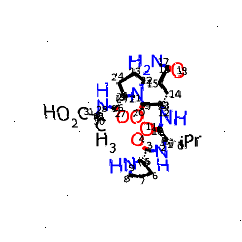 CC(C)[C@H](NC(=O)[C@@H]1CCCN1)C(=O)N[C@@H](CCC(N)=O)C(=O)N1CCC[C@H]1C(=O)N[C@@H](C)C(=O)O